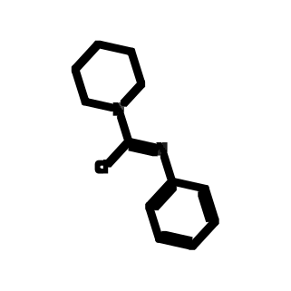 Cl/C(=N\c1ccccc1)N1CCCCC1